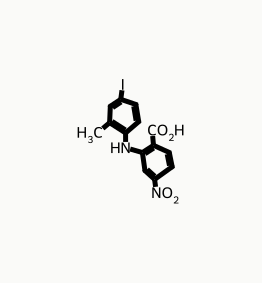 Cc1cc(I)ccc1Nc1cc([N+](=O)[O-])ccc1C(=O)O